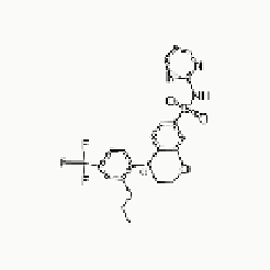 CCCc1cc(C(F)(F)F)ccc1[C@@H]1CCOc2cc(S(=O)(=O)Nc3ncccn3)ccc21